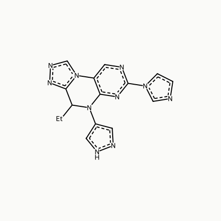 CCC1c2nncn2-c2cnc(-n3ccnc3)nc2N1c1cn[nH]c1